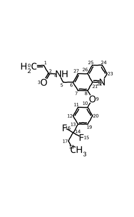 C=CC(=O)NCc1cc(Oc2ccc(C(F)(F)CC)cc2)c2ncccc2c1